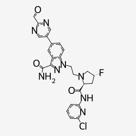 NC(=O)c1nn(CCN2C[C@H](F)C[C@H]2C(=O)Nc2cccc(Cl)n2)c2ccc(-c3cnc(C=O)nc3)cc12